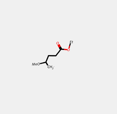 [CH2]C(CCC(=O)OCC)OC